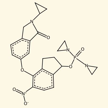 O=C1c2cc(Oc3c([N+](=O)[O-])ccc4c3CCC4OP(=O)(N3CC3)N3CC3)ccc2CN1C1CC1